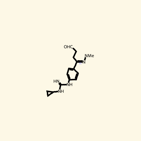 CN/N=C(\CCC=O)c1ccc(NC(=N)NC2CC2)cc1